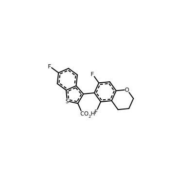 O=C(O)c1sc2cc(F)ccc2c1-c1c(F)cc2c(c1F)CCCO2